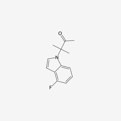 CC(=O)C(C)(C)n1ccc2c(F)cccc21